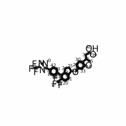 Cn1nc(C(F)(F)F)nc1-c1ccc(-c2c(C(F)(F)F)ccc3c2CC[C@H]3Oc2ccc3c(c2)OCC3CC(=O)O)cc1